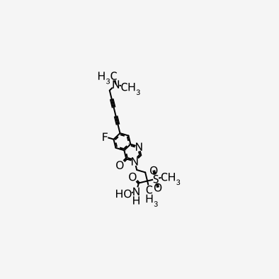 CN(C)CC#CC#Cc1cc2ncn(CCC(C)(C(=O)NO)S(C)(=O)=O)c(=O)c2cc1F